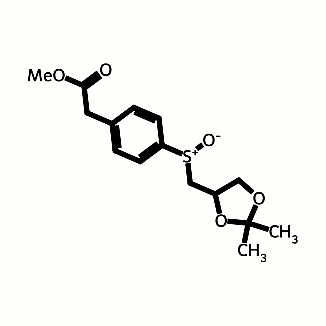 COC(=O)Cc1ccc([S+]([O-])CC2COC(C)(C)O2)cc1